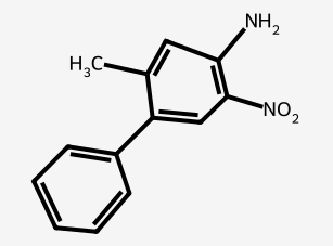 Cc1cc(N)c([N+](=O)[O-])cc1-c1ccccc1